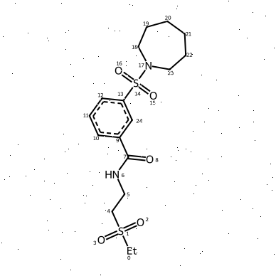 CCS(=O)(=O)CCNC(=O)c1cccc(S(=O)(=O)N2CCCCCC2)c1